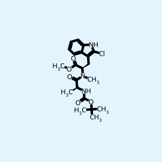 COC(=O)[C@@H](Cc1c(Cl)[nH]c2ccccc12)N(C)C(=O)[C@H](C)NC(=O)OC(C)(C)C